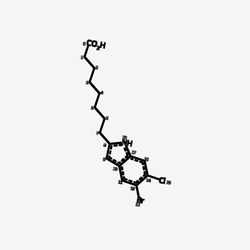 O=C(O)CCCCCCCc1cc2cc(Br)c(Cl)cc2[nH]1